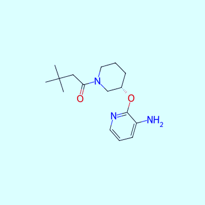 CC(C)(C)CC(=O)N1CCC[C@H](Oc2ncccc2N)C1